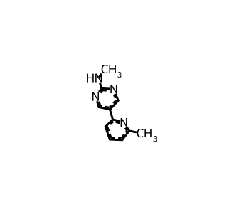 CNc1ncc(-c2cccc(C)n2)cn1